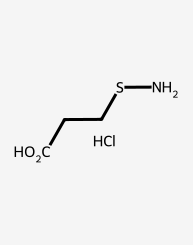 Cl.NSCCC(=O)O